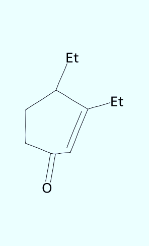 CCC1=CC(=O)CCC1CC